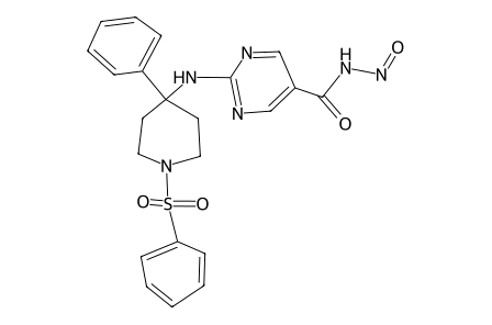 O=NNC(=O)c1cnc(NC2(c3ccccc3)CCN(S(=O)(=O)c3ccccc3)CC2)nc1